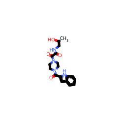 CC(O)CNC(=O)C(=O)N1CCN(C(=O)c2cc3ccccc3[nH]2)CC1